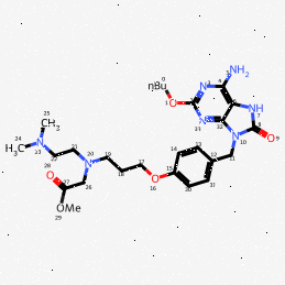 CCCCOc1nc(N)c2[nH]c(=O)n(Cc3ccc(OCCCN(CCN(C)C)CC(=O)OC)cc3)c2n1